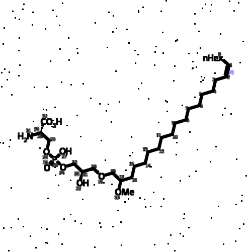 CCCCCC/C=C\CCCCCCCCCCCCCCC(COC[C@@H](O)COP(=O)(O)OC[C@H](N)C(=O)O)OC